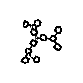 c1ccc(-c2cc(-c3ccccc3)cc(-c3ccc(N(c4ccc(-c5ccc6c7ccccc7n(-c7ccccc7)c6c5)cc4)c4ccc5c(c4)c4ccccc4n5-c4ccccc4)cc3)c2)cc1